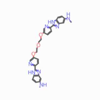 CNc1ccc2[nH]c(-c3ccc(OCCOCCOc4ccc(-c5nc6cc(NC)ccc6[nH]5)nc4)cn3)nc2c1